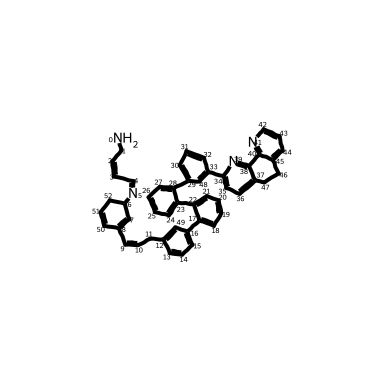 NC/C=C\C=N/C1C=C(/C=C\Cc2cccc(-c3ccccc3-c3ccccc3-c3cccc(-c4ccc5c(n4)-c4ncccc4CC5)c3)c2)C=CC1